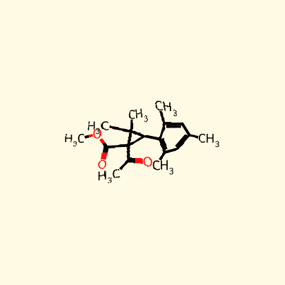 COC(=O)C1(C(C)=O)C(c2c(C)cc(C)cc2C)C1(C)C